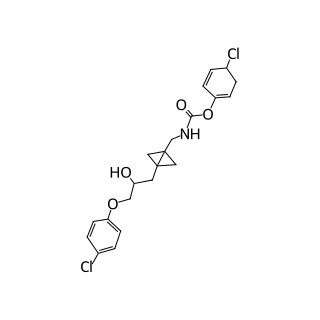 O=C(NCC12CC1(CC(O)COc1ccc(Cl)cc1)C2)OC1=CCC(Cl)C=C1